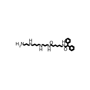 NCCCNCCCCNCCCNC(=O)CCCCCNC(=O)C(c1ccccc1)c1ccccc1